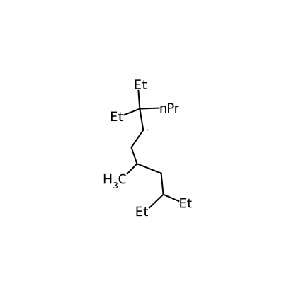 CCCC([CH]CC(C)CC(CC)CC)(CC)CC